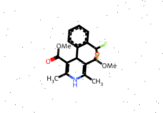 COC(=O)C1=C(C)NC(C)=C(C(=O)OC)C1c1ccccc1C(F)F